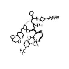 CNC1CN(C(=O)[C@@H](COCc2ccc3c(c2)OCCO3)NC(=O)c2cccnc2Oc2ccc(C(F)(F)F)cc2Cl)C1